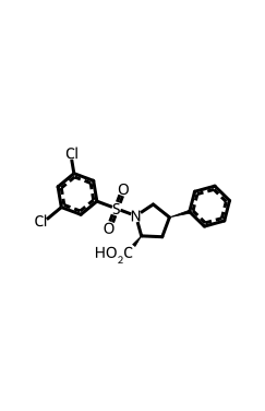 O=C(O)[C@@H]1C[C@H](c2ccccc2)CN1S(=O)(=O)c1cc(Cl)cc(Cl)c1